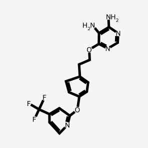 Nc1ncnc(OCCc2ccc(Oc3cc(C(F)(F)F)ccn3)cc2)c1N